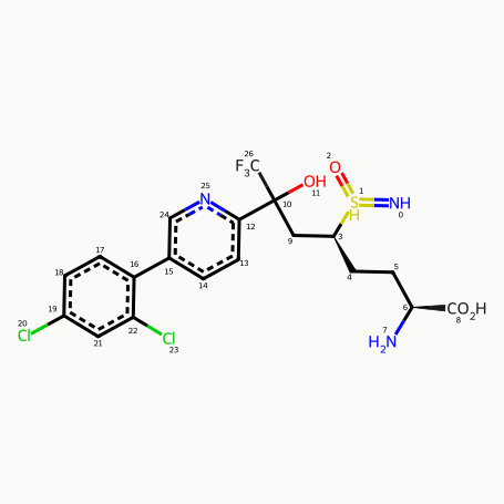 N=[SH](=O)[C@@H](CC[C@H](N)C(=O)O)CC(O)(c1ccc(-c2ccc(Cl)cc2Cl)cn1)C(F)(F)F